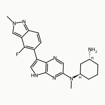 CN(c1cnc2c(-c3ccc4nn(C)cc4c3F)c[nH]c2n1)[C@@H]1CCC[C@@H](N)C1